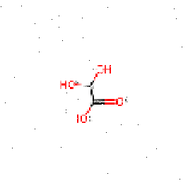 O=C(O)C(O)O